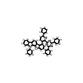 c1ccc(-c2ccc(-c3cccc4oc5c(ccc6c7ccccc7n(-c7ccccc7)c65)c34)c(-c3nc(-c4ccccc4)nc(-c4ccccc4)n3)n2)cc1